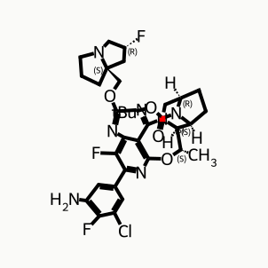 C[C@@H]1Oc2nc(-c3cc(N)c(F)c(Cl)c3)c(F)c3nc(OC[C@@]45CCCN4C[C@H](F)C5)nc(c23)N2C[C@H]3CC[C@@H]([C@@H]12)N3C(=O)OC(C)(C)C